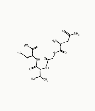 C[C@@H](O)[C@H](NC(=O)CNC(=O)[C@@H](N)CC(N)=O)C(=O)N[C@@H](CS)C(=O)O